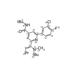 CC(C)/C=C(/c1cc(C(=O)NC(C)(C)C)cc(-c2ccc(F)c(Cl)c2)n1)N(C)C(C)(C)C